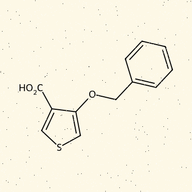 O=C(O)c1cscc1OCc1ccccc1